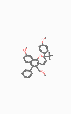 COCc1c2c(c3cc(OC)ccc3c1-c1ccccc1)OC(c1ccc(OC)cc1)(C(C)(C)C)C=C2